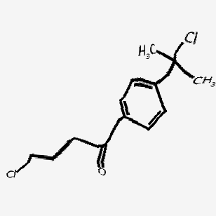 CC(C)(Cl)c1ccc(C(=O)CCCCl)cc1